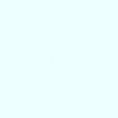 O=CC1CN(Cc2ccc(F)cc2C(F)(F)F)S(=O)(=O)N1